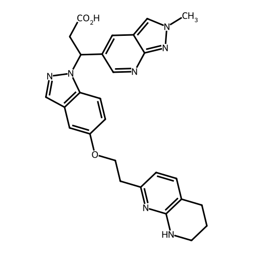 Cn1cc2cc(C(CC(=O)O)n3ncc4cc(OCCc5ccc6c(n5)NCCC6)ccc43)cnc2n1